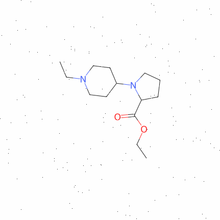 CCOC(=O)C1CCCN1C1CCN(CC)CC1